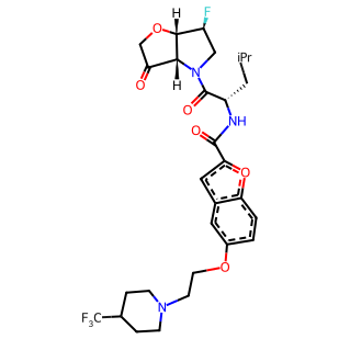 CC(C)C[C@H](NC(=O)c1cc2cc(OCCN3CCC(C(F)(F)F)CC3)ccc2o1)C(=O)N1C[C@H](F)[C@H]2OCC(=O)[C@H]21